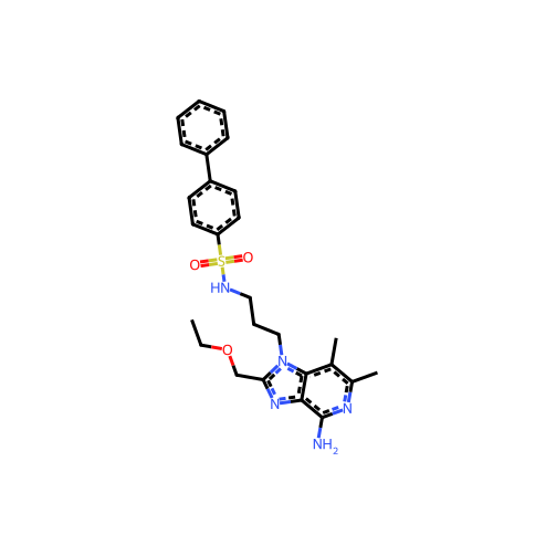 CCOCc1nc2c(N)nc(C)c(C)c2n1CCCNS(=O)(=O)c1ccc(-c2ccccc2)cc1